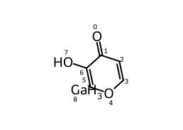 O=c1ccocc1O.[GaH3]